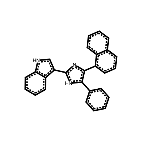 c1ccc(-c2[nH]c(-c3c[nH]c4ccccc34)nc2-c2cccc3ccccc23)cc1